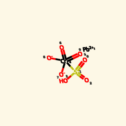 O=[S](=O)(O)[Cr](=[O])(=[O])([O-])[O-].[Pb+2]